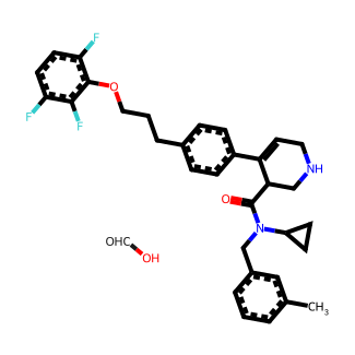 Cc1cccc(CN(C(=O)C2CNCC=C2c2ccc(CCCOc3c(F)ccc(F)c3F)cc2)C2CC2)c1.O=CO